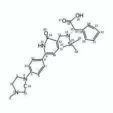 CN1CCN(c2ccc(-c3ccc(CN([C@H](C(=O)O)c4ccccc4)[Si](C)(C)C)c(=O)[nH]3)cc2)CC1